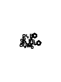 CCOP(=O)(CCC1NC(=O)N(OCc2ccccc2)C1=NC(=O)Nc1ccccc1)OCC